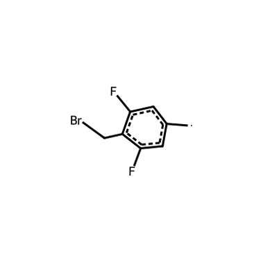 [CH2]c1cc(F)c(CBr)c(F)c1